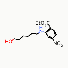 CCOC(=O)c1ccc([N+](=O)[O-])cc1NCCCCCCO